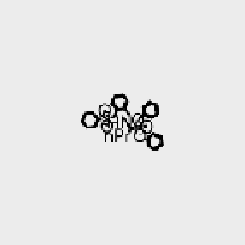 CCCC(NCc1ccccc1CS(=O)(=O)C1CCCCC1)P(=O)(Oc1ccccc1)Oc1ccccc1